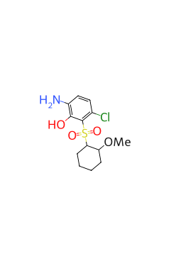 COC1CCCCC1S(=O)(=O)c1c(Cl)ccc(N)c1O